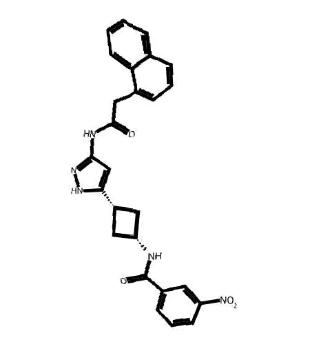 O=C(Cc1cccc2ccccc12)Nc1cc([C@H]2C[C@@H](NC(=O)c3cccc([N+](=O)[O-])c3)C2)[nH]n1